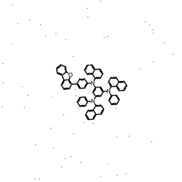 c1ccc(N(c2cc(N(c3ccccc3)c3cccc4ccccc34)cc(N(c3ccc(-c4cccc5c4oc4ccccc45)cc3)c3cccc4ccccc34)c2)c2cccc3ccccc23)cc1